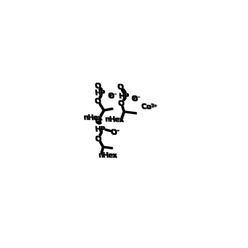 CCCCCCC(C)O[PH](=O)[O-].CCCCCCC(C)O[PH](=O)[O-].CCCCCCC(C)O[PH](=O)[O-].[Co+3]